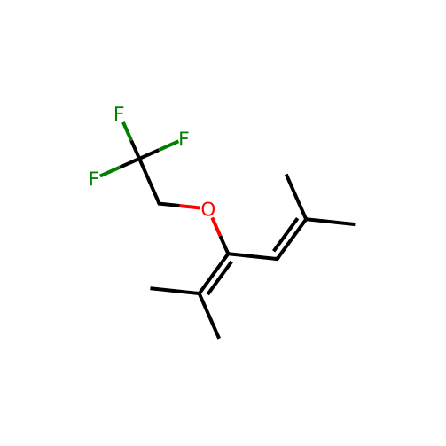 CC(C)=CC(OCC(F)(F)F)=C(C)C